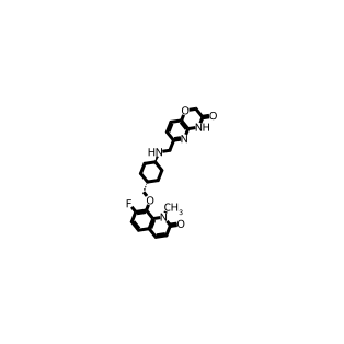 Cn1c(=O)ccc2ccc(F)c(OC[C@H]3CC[C@H](NCc4ccc5c(n4)NC(=O)CO5)CC3)c21